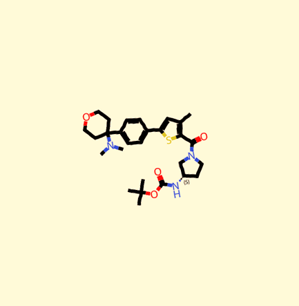 Cc1cc(-c2ccc(C3(N(C)C)CCOCC3)cc2)sc1C(=O)N1CC[C@H](NC(=O)OC(C)(C)C)C1